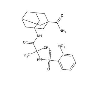 CC(C)(NS(=O)(=O)c1ccccc1[N+](=O)[O-])C(=O)NC12CC3CC(C1)CC(C(N)=O)(C3)C2